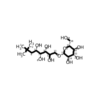 CC(C)(C)C[C@H](O)[C@@H](O)[C@H](O)C(O)CO[C@@H]1O[C@H](CO)[C@@H](O)[C@H](O)[C@H]1O